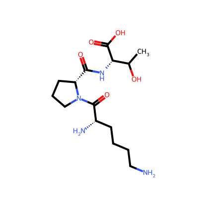 CC(O)[C@H](NC(=O)[C@H]1CCCN1C(=O)[C@@H](N)CCCCN)C(=O)O